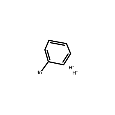 [H-].[H-].[In][c]1ccccc1